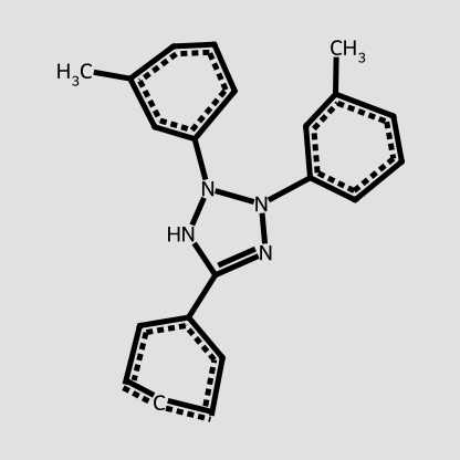 Cc1cccc(N2N=C(c3ccccc3)NN2c2cccc(C)c2)c1